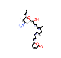 C/C=C/[C@@H]1O[C@H]([C@H](O)/C=C/C=C(\C)C[C@@H](C)/C=C\C=C\[C@H]2CC=CC(=O)O2)CC(N)[C@@H]1C